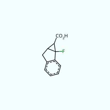 O=C(O)C1C2Cc3ccccc3C21F